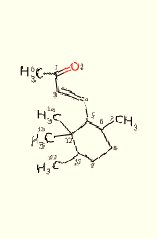 CC(=O)/C=C/C1C(C)CCC(C)C1(C)C